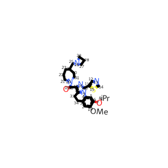 COc1cc2c(cc1OC(C)C)-n1c(-c3cncs3)nc(C(=O)N3CCCC(CN4CCC4)CC3)c1CC2